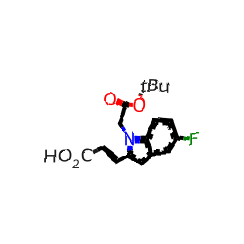 CC(C)(C)OC(=O)Cn1c(C=CC(=O)O)cc2cc(F)ccc21